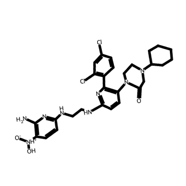 Nc1nc(NCCNc2ccc(N3CCN(C4CCCCC4)CC3=O)c(-c3ccc(Cl)cc3Cl)n2)ccc1[NH+]([O-])O